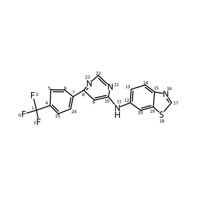 FC(F)(F)c1ccc(-c2cc(Nc3ccc4ncsc4c3)ncn2)cc1